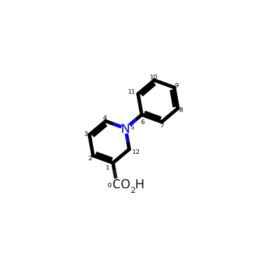 O=C(O)C1=CC=CN(c2ccccc2)C1